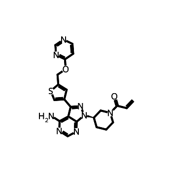 C=CC(=O)N1CCC[C@@H](n2nc(-c3csc(COc4ccncn4)c3)c3c(N)ncnc32)C1